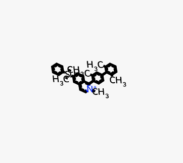 Cc1cc(-c2c(C)cccc2C)ccc1-c1c2ccc([Si](C)(C)c3ccccc3)cc2cc[n+]1C